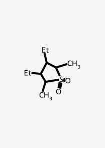 CCC1C(CC)C(C)S(=O)(=O)C1C